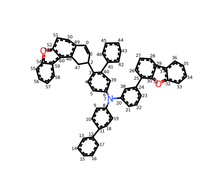 C1=CC(c2ccc(N(c3ccc(-c4ccccc4)cc3)c3cccc(-c4cccc5c4oc4ccccc45)c3)cc2-c2ccccc2)Cc2c1ccc1oc3ccccc3c21